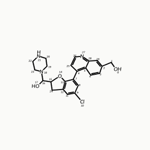 OCc1ccc2c(-c3cc(Cl)cc4c3OC(C(O)N3CCNCC3)C4)ccnc2c1